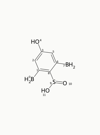 Bc1cc(O)cc(B)c1S(=O)O